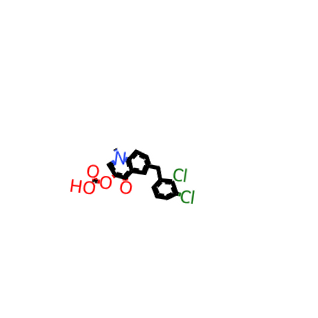 Cn1cc(OC(=O)O)c(=O)c2cc(Cc3cccc(Cl)c3Cl)ccc21